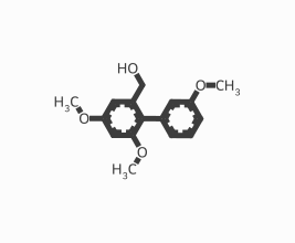 COc1cccc(-c2c(CO)cc(OC)cc2OC)c1